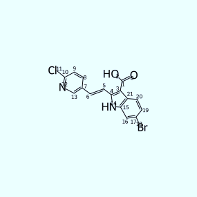 O=C(O)c1c(C=Cc2ccc(Cl)nc2)[nH]c2cc(Br)ccc12